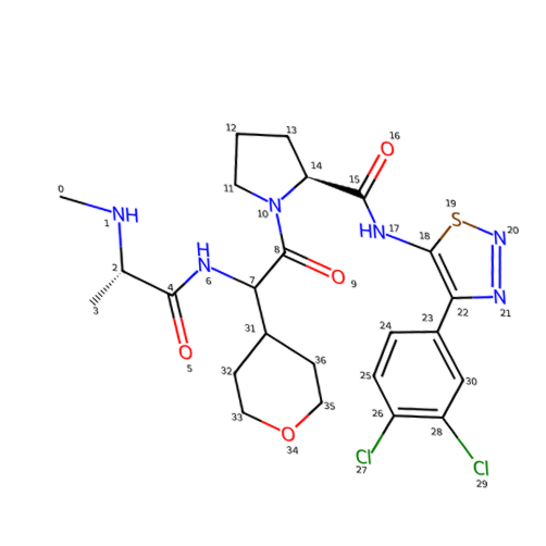 CN[C@@H](C)C(=O)NC(C(=O)N1CCC[C@H]1C(=O)Nc1snnc1-c1ccc(Cl)c(Cl)c1)C1CCOCC1